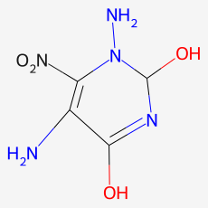 NC1=C([N+](=O)[O-])N(N)C(O)N=C1O